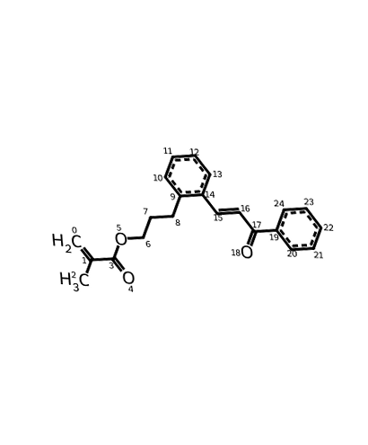 C=C(C)C(=O)OCCCc1ccccc1C=CC(=O)c1ccccc1